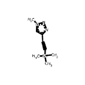 Cn1cc(C#C[Si](C)(C)C)nn1